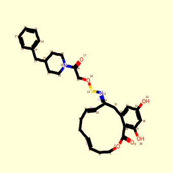 O=C1OCC/C=C/CC/C=C/C(=N\SOCC(=O)N2CCC(Cc3ccccc3)CC2)Cc2cc(O)cc(O)c21